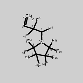 C=CC(F)(F)C(F)N1C(F)(F)C(F)(F)C(F)(F)C1(F)F